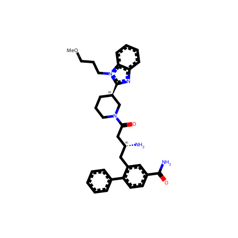 COCCCn1c([C@@H]2CCCN(C(=O)C[C@H](N)Cc3cc(C(N)=O)ccc3-c3ccccc3)C2)nc2ccccc21